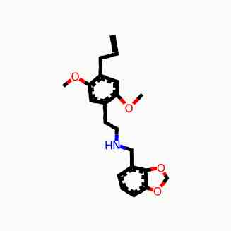 C=CCc1cc(OC)c(CCNCc2cccc3c2OCO3)cc1OC